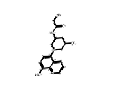 CC(C)(C)CC(=O)NC1CC(C(F)(F)F)CN(c2ccc(C#N)c3ncccc23)C1